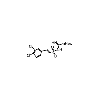 CCCCCCC(=N)NS(=O)(=O)/C=C/c1ccc(Cl)c(Cl)c1